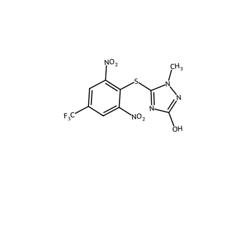 Cn1nc(O)nc1Sc1c([N+](=O)[O-])cc(C(F)(F)F)cc1[N+](=O)[O-]